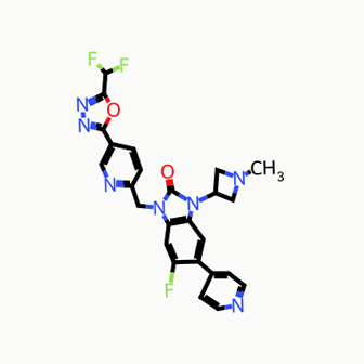 CN1CC(n2c(=O)n(Cc3ccc(-c4nnc(C(F)F)o4)cn3)c3cc(F)c(-c4ccncc4)cc32)C1